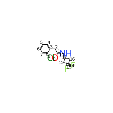 O=C(Cc1ccccc1Cl)NC1CC(F)(F)C1